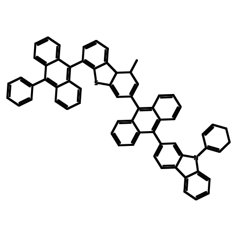 CC1C=C(c2c3ccccc3c(-c3ccc4c5ccccc5n(C5=CCCC=C5)c4c3)c3ccccc23)C=C2Sc3c(-c4c5ccccc5c(-c5ccccc5)c5ccccc45)cccc3C21